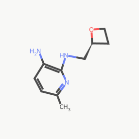 Cc1ccc(N)c(NC[C@@H]2CCO2)n1